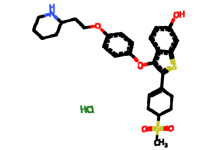 CS(=O)(=O)C1CC=C(c2sc3cc(O)ccc3c2Oc2ccc(OCCC3CCCCN3)cc2)CC1.Cl